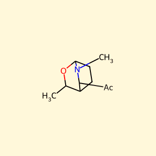 CC(=O)C1C2CCC(OC2C)N1C